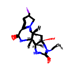 CN1C(=O)N[C@H]2[C@@H]3NC(=O)C4=CC(I)CN4[C@@H]3C[C@]21O